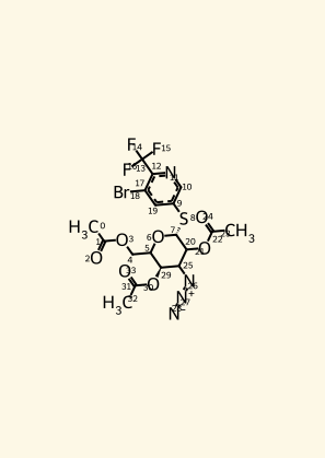 CC(=O)OCC1O[C@H](Sc2cnc(C(F)(F)F)c(Br)c2)C(OC(C)=O)C(N=[N+]=[N-])[C@H]1OC(C)=O